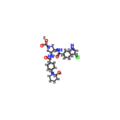 COC(=O)N1C[C@H](NC(=O)c2ccc(N3CCCCC3=O)cc2)[C@H](NC(=O)c2ccc3c(Cl)c[nH]c3c2)C1